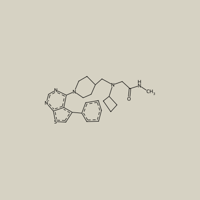 CNC(=O)CN(CC1CCN(c2ncnc3scc(-c4ccccc4)c23)CC1)C1CCC1